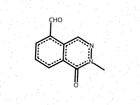 Cn1ncc2c(C=O)cccc2c1=O